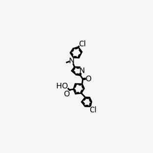 CN(c1ccc(Cl)cc1)c1ccc(C(=O)c2cc(C(=O)O)cc(-c3ccc(Cl)cc3)c2)nc1